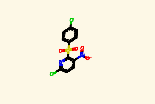 O=[N+]([O-])c1ccc(Cl)nc1S(=O)(=O)c1ccc(Cl)cc1